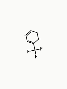 FC(F)(F)C1=C[C]=CC[C]1